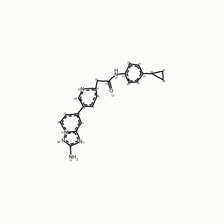 Nc1nc2cc(-c3ccc(CC(=O)Nc4ccc(C5CC5)cc4)nc3)ccn2n1